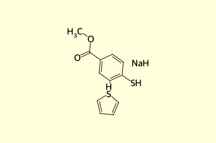 COC(=O)c1ccc(S)c([SH]2C=CC=C2)c1.[NaH]